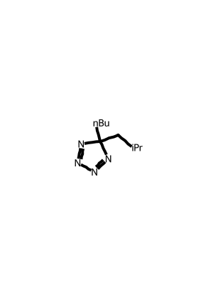 CCCCC1(CC(C)C)N=NN=N1